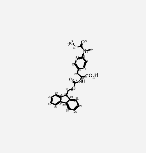 CN(C(=O)OC(C)(C)C)c1ccc(CC(NC(=O)OCC2c3ccccc3-c3ccccc32)C(=O)O)cn1